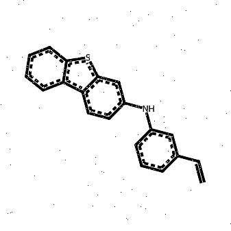 C=Cc1cccc(Nc2ccc3c(c2)sc2ccccc23)c1